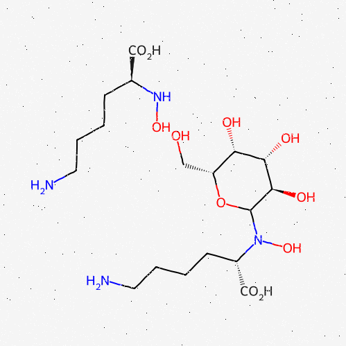 NCCCC[C@@H](C(=O)O)N(O)C1O[C@H](CO)[C@H](O)[C@H](O)[C@H]1O.NCCCC[C@H](NO)C(=O)O